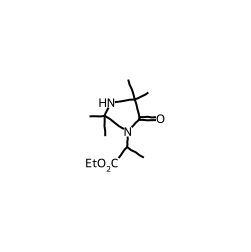 CCOC(=O)C(C)N1C(=O)C(C)(C)NC1(C)C